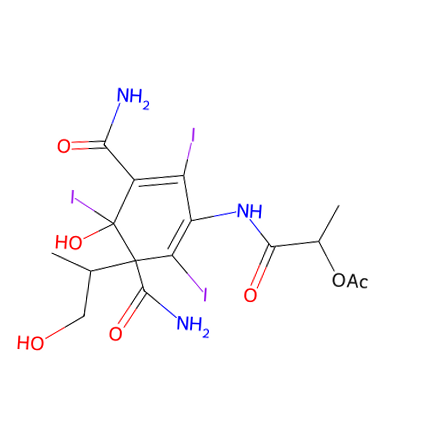 CC(=O)OC(C)C(=O)NC1=C(I)C(C(N)=O)(C(C)CO)C(O)(I)C(C(N)=O)=C1I